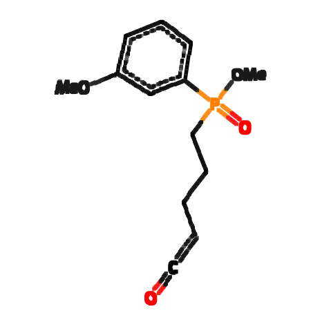 COc1cccc(P(=O)(CCCC=C=O)OC)c1